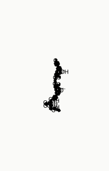 C=CCOC(=O)NC(C(=O)NC(CCC(=O)[O-])C(=O)Nc1ccc(C2=CC=C3C(C2)Cn2cc(OCCCOc4cn5c(c4OC)C=[N+](O)C4=CC=C(c6ccc(OC)cc6)CC4C5)c(OC)c2C=[N+]3[O-])cc1)C(C)C